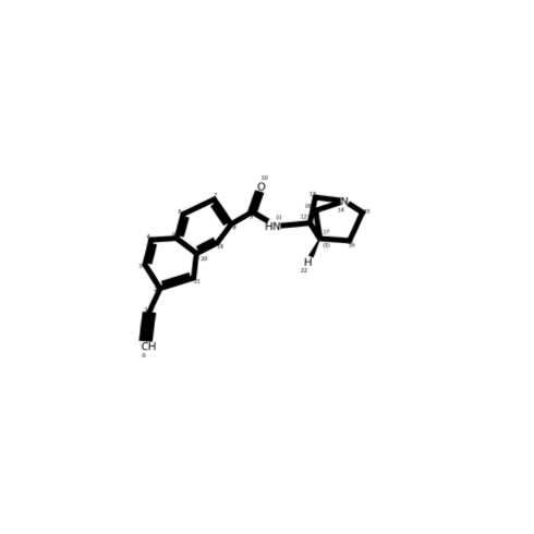 C#Cc1ccc2ccc(C(=O)NC3CN4CC[C@H]3C4)cc2c1